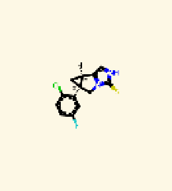 Fc1ccc(Cl)c([C@]23C[C@H]2c2c[nH]c(=S)n2C3)c1